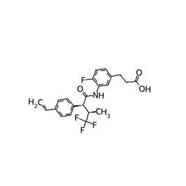 C=Cc1ccc([C@@H](C(=O)Nc2cc(CCC(=O)O)ccc2F)[C@@H](C)C(F)(F)F)cc1